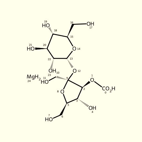 O=C(O)O[C@H]1[C@H](O)[C@@H](CO)O[C@@]1(CO)O[C@H]1O[C@H](CO)[C@@H](O)[C@H](O)[C@H]1O.[MgH2]